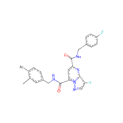 CC(=O)c1ccc(CNC(=O)c2cc(C(=O)NCc3ccc(F)cc3)nc3c(F)cnn23)cc1C